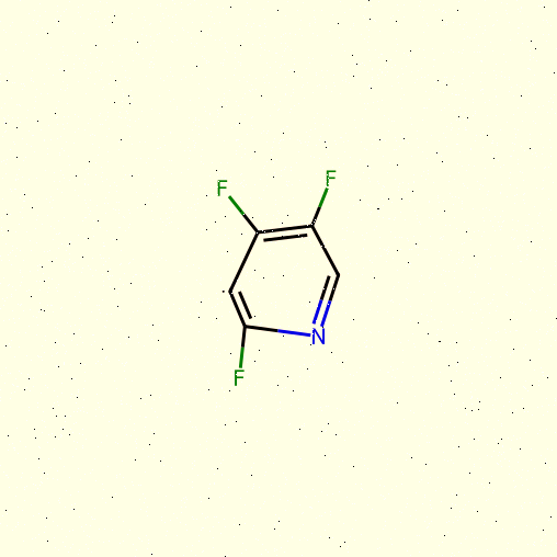 Fc1[c]c(F)c(F)cn1